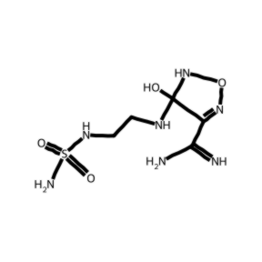 N=C(N)C1=NONC1(O)NCCNS(N)(=O)=O